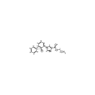 CCOC(=O)c1cn(-c2cccc(-c3ccccc3)c2Cl)cn1